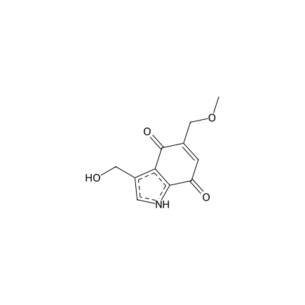 COCC1=CC(=O)c2[nH]cc(CO)c2C1=O